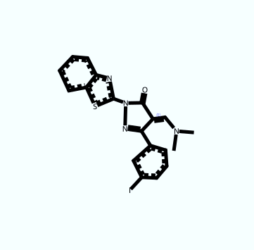 CN(C)/C=C1/C(=O)N(c2nc3ccccc3s2)N=C1c1cccc(I)c1